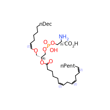 CCCCC/C=C\C/C=C\C/C=C\CCCCC(=O)O[C@H](CO/C=C\CCCCCCCCCCCCCC)COP(=O)(O)OC[C@H](N)C(=O)O